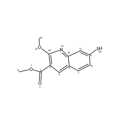 COC(=O)c1cc2ccc(S)cc2nc1OC